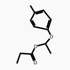 CCC(=O)OC(C)Oc1ccc(C)cc1